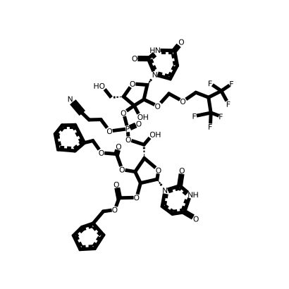 N#CCCOP(=O)(OC(O)[C@@H]1O[C@H](n2ccc(=O)[nH]c2=O)C(OC(=O)OCc2ccccc2)C1OC(=O)OCc1ccccc1)OC1(O)C(OCOCC(C(F)(F)F)C(F)(F)F)[C@@H](n2ccc(=O)[nH]c2=O)O[C@H]1CO